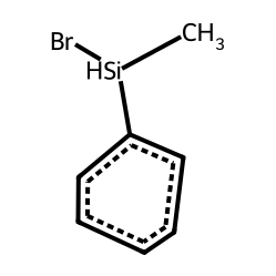 C[SiH](Br)c1ccccc1